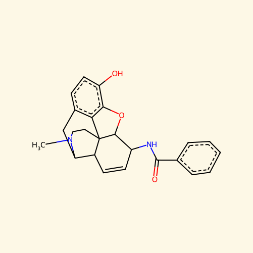 CN1CCC23c4c5ccc(O)c4OC2C(NC(=O)c2ccccc2)C=CC3C1C5